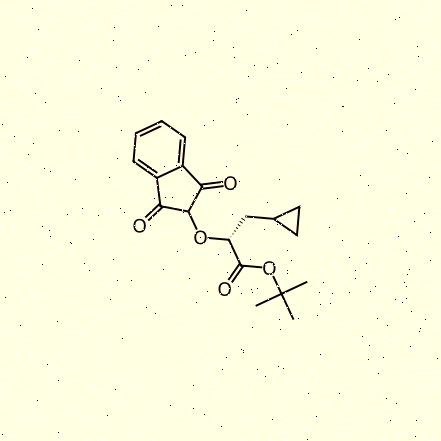 CC(C)(C)OC(=O)[C@@H](CC1CC1)OC1C(=O)c2ccccc2C1=O